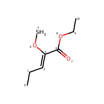 CCC=C(O[SiH3])C(=O)OCC